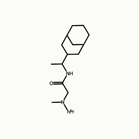 CCCN(C)CC(=O)NC(C)C1CC2CCCC(C2)C1